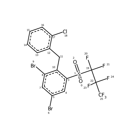 O=S(=O)(c1cc(Br)[c]c(Br)c1Cc1ccccc1Cl)C(F)(F)C(F)(F)C(F)(F)F